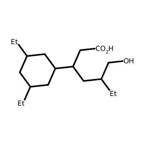 CCC(CO)CC(CC(=O)O)C1CC(CC)CC(CC)C1